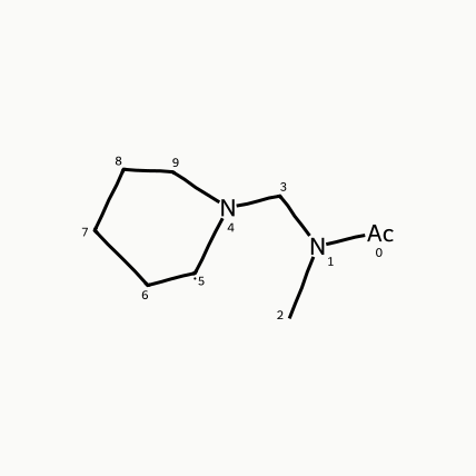 CC(=O)N(C)CN1[CH]CCCC1